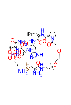 CC(C)C[C@H](NC(=O)[C@@H]1CCCN1C(=O)CCOC(C)(C)CCOC(C)(C)CCNC(=O)[C@@H](N)CS)C(=O)N[C@@H](Cc1cnc[nH]1)C(=O)N[C@@H](CO)C(=O)N[C@H](C(N)=O)[C@@H](C)OP(=O)(O)OCCCN